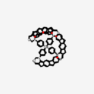 C1=C2Cc3cc4c(cc3=C2N(c2cc[c]([Ge]([c]3ccc(N5COC=C6Cc7cc8c(cc7=C65)-c5ccccc5C=8)cc3)([c]3ccc(N5COC=C6Cc7cc8c(cc7=C65)-c5ccccc5C=8)cc3)[c]3ccc(N5COC=C6Cc7cc8c(cc7=C65)-c5ccccc5C=8)cc3)cc2)CO1)-c1ccccc1C=4